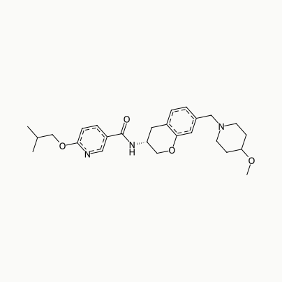 COC1CCN(Cc2ccc3c(c2)OC[C@H](NC(=O)c2ccc(OCC(C)C)nc2)C3)CC1